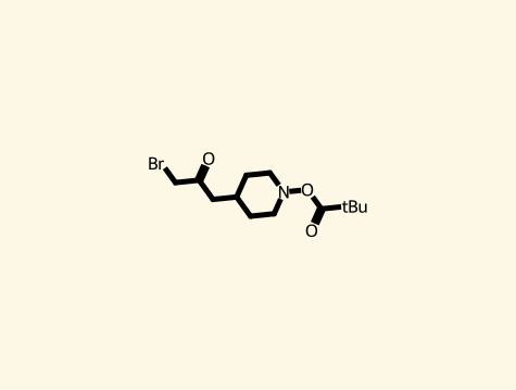 CC(C)(C)C(=O)ON1CCC(CC(=O)CBr)CC1